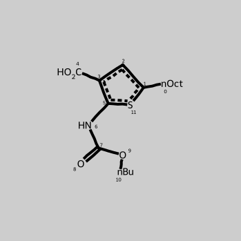 CCCCCCCCc1cc(C(=O)O)c(NC(=O)OCCCC)s1